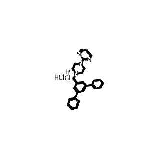 Cl.Cl.c1ccc(-c2cc(CN3CCN(c4ncccn4)CC3)cc(-c3ccccc3)c2)cc1